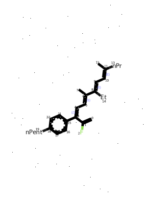 C=C(F)\C(=C/C=C(C)/C(=C/C=C(\C)CCC)CC)c1ccc(CCCCC)cc1